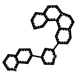 c1cnc2cc(-c3ccnc(-c4ccc5ccc6ccc7ccccc7c6c5c4)c3)ccc2c1